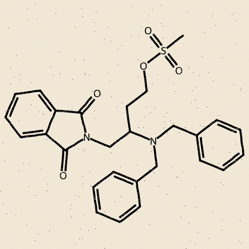 CS(=O)(=O)OCCC(CN1C(=O)c2ccccc2C1=O)N(Cc1ccccc1)Cc1ccccc1